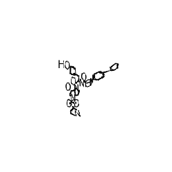 O=C(NC(Cc1ccc(O)cc1)C(=O)N1CCC2C1C(=O)CN2S(=O)(=O)c1cccnc1)Oc1ccc(-c2ccccc2)cc1